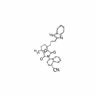 CC12CCC(C/C=C/c3nc4ccccc4[nH]3)(O1)C1C(=O)N(c3ccc(C#N)c4ccccc34)C(=O)C12